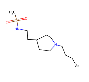 CC(=O)CCCN1CCC(CCNS(C)(=O)=O)CC1